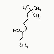 CCCC(O)CCCCC(C)(C)C